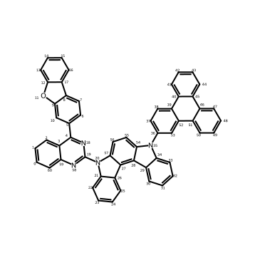 c1ccc2c(-c3ccc4c(c3)oc3ccccc34)nc(-n3c4ccccc4c4c5c6ccccc6n(-c6ccc7c8ccccc8c8ccccc8c7c6)c5ccc43)nc2c1